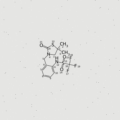 CC1(C)CN(Cc2ccccc2NS(=O)(=O)C(F)(F)F)C(=O)S1